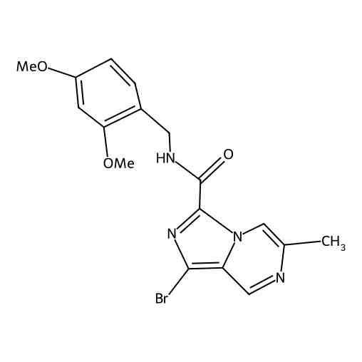 COc1ccc(CNC(=O)c2nc(Br)c3cnc(C)cn23)c(OC)c1